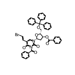 O=C(O[C@H]1C[C@H](n2cc(C=CBr)c(=O)n(C(=O)c3ccccc3)c2=O)O[C@@H]1COC(c1ccccc1)(c1ccccc1)c1ccccc1)c1ccccc1